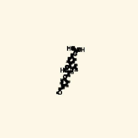 COCCc1ccc(OCC(O)CN(C(=O)c2ccc(CON(O)O)cc2)C(C)C)cc1